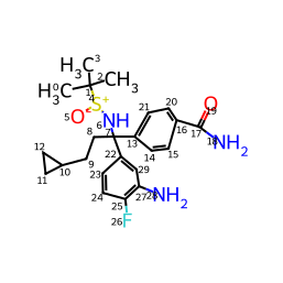 CC(C)(C)[S+]([O-])NC(CCC1CC1)(c1ccc(C(N)=O)cc1)c1ccc(F)c(N)c1